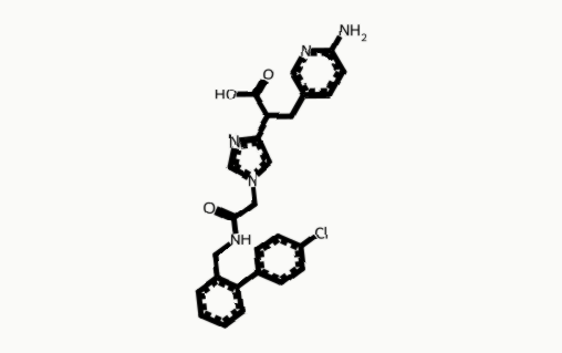 Nc1ccc(CC(C(=O)O)c2cn(CC(=O)NCc3ccccc3-c3ccc(Cl)cc3)cn2)cn1